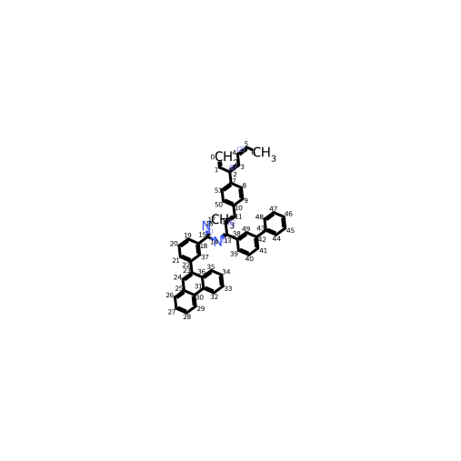 C=C/C(=C\C=C/C)c1ccc(/C=C/C(=N\C(=N/C)c2cccc(-c3cc4ccccc4c4ccccc34)c2)c2cccc(-c3ccccc3)c2)cc1